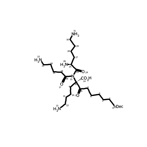 CCCCCCCCCCCCCCCC(=O)[C@](CCCCN)(C(=O)O)N(C(=O)CCCCN)C(=O)[C@@H](N)CCCCN